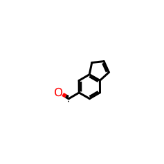 O=[C]c1ccc2c(c1)CC=C2